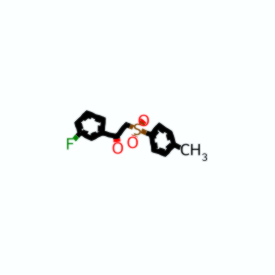 Cc1ccc(S(=O)(=O)CC(=O)c2cccc(F)c2)cc1